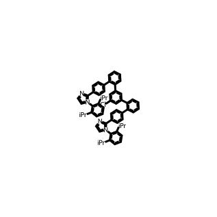 CC(C)c1cccc(C(C)C)c1-n1ccnc1-c1ccc(-c2ccccc2-c2cc(Cl)cc(-c3ccccc3-c3ccc(-c4nccn4-c4c(C(C)C)cccc4C(C)C)cc3)c2)cc1